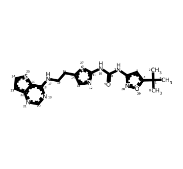 CC(C)(C)c1cc(NC(=O)Nc2ncc(CCNc3ncnc4ccsc34)s2)no1